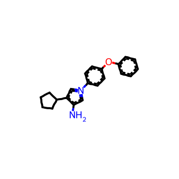 Nc1cn(-c2ccc(Oc3ccccc3)cc2)cc1C1CCCC1